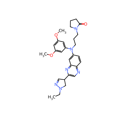 CCN1CC(c2cnc3ccc(N(CCCN4CCCC4=O)c4cc(OC)cc(OC)c4)cc3n2)C=N1